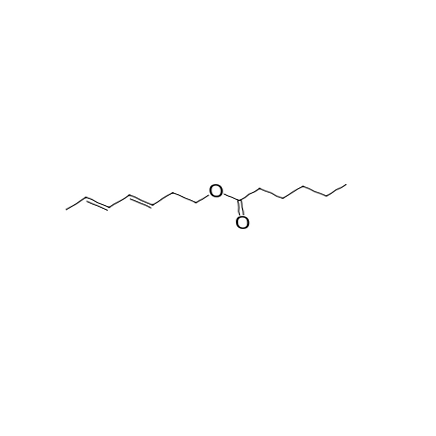 CC=CC=CCCOC(=O)CCCCC